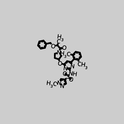 Cc1cccc(C)c1-c1cc(OC2CCN(C(=O)C(C)OCc3ccccc3)C2)nc(NS(=O)(=O)c2cnn(C)c2)n1